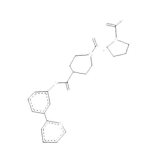 CC(=O)N1CCC[C@@H]1C(=O)N1CCC(C(=O)Nc2cccc(-c3ccccn3)c2)CC1